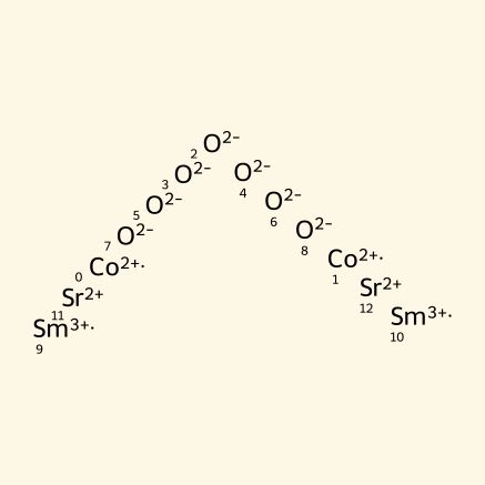 [Co+2].[Co+2].[O-2].[O-2].[O-2].[O-2].[O-2].[O-2].[O-2].[Sm+3].[Sm+3].[Sr+2].[Sr+2]